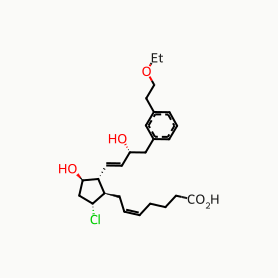 CCOCCc1cccc(C[C@@H](O)/C=C/[C@@H]2[C@@H](C/C=C\CCCC(=O)O)[C@H](Cl)C[C@H]2O)c1